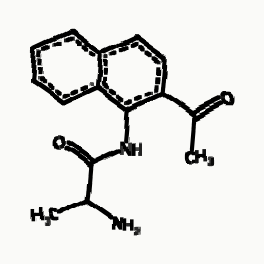 CC(=O)c1ccc2ccccc2c1NC(=O)C(C)N